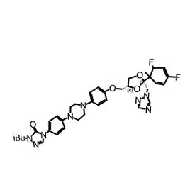 CCC(C)n1ncn(-c2ccc(N3CCN(c4ccc(OC[C@@H]5CO[C@@](Cn6cncn6)(C6(C)C=CC(F)=CC6F)O5)cc4)CC3)cc2)c1=O